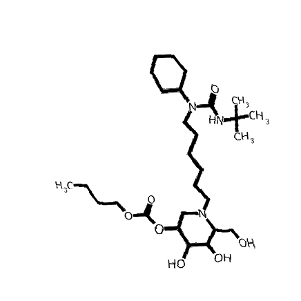 CCCCOC(=O)OC1CN(CCCCCCN(C(=O)NC(C)(C)C)C2CCCCC2)C(CO)C(O)C1O